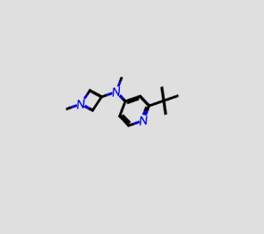 CN1CC(N(C)c2ccnc(C(C)(C)C)c2)C1